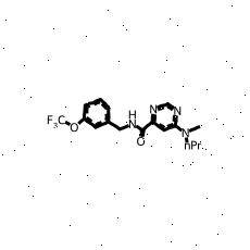 CCCN(C)c1cc(C(=O)NCc2cccc(OC(F)(F)F)c2)ncn1